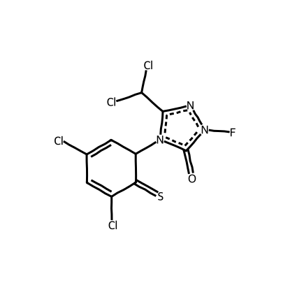 O=c1n(F)nc(C(Cl)Cl)n1C1C=C(Cl)C=C(Cl)C1=S